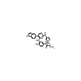 C=CC(=O)Nc1ccc(F)c(Nc2nc(Nc3cnn(C)c3)ncc2-c2ccc3[nH]ccc3c2)c1